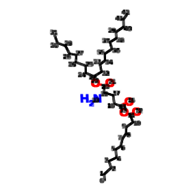 CCCCCCCCCCCC(=O)OC(=O)CC[C@H](N)C(=O)OC(CCCCCCCC)CCCCCCCCCCC